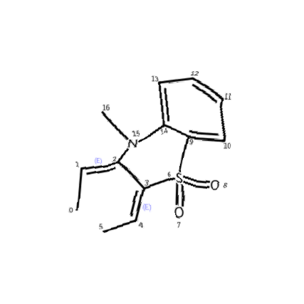 C/C=C1\C(=C/C)S(=O)(=O)c2ccccc2N1C